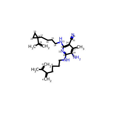 C=C(C)C(=C)CCCCNc1nc(NCCCCC2(C(=C)C)CC2)c(C#N)c(C)c1N